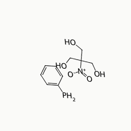 O=[N+]([O-])C(CO)(CO)CO.Pc1ccccc1